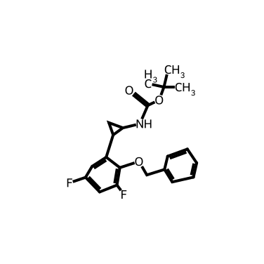 CC(C)(C)OC(=O)NC1CC1c1cc(F)cc(F)c1OCc1ccccc1